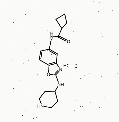 Cl.Cl.O=C(Nc1ccc2oc(NC3CCNCC3)nc2c1)C1CCC1